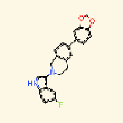 Fc1ccc2[nH]cc(N3CCc4cc(-c5ccc6c(c5)OCO6)ccc4C3)c2c1